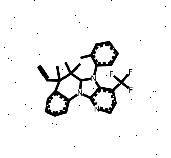 C=CC1(C)c2ccccc2N2c3nccc(C(F)(F)F)c3N(c3ccccc3C)C2C1(C)C